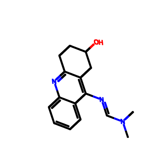 CN(C)C=Nc1c2c(nc3ccccc13)CCC(O)C2